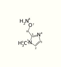 Cn1ccnc1CON